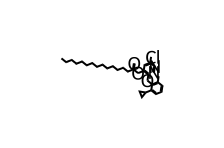 CCCCCCCCCCCCCCC(=O)Oc1cc(Cl)nnc1Oc1c(C)cccc1C1CC1